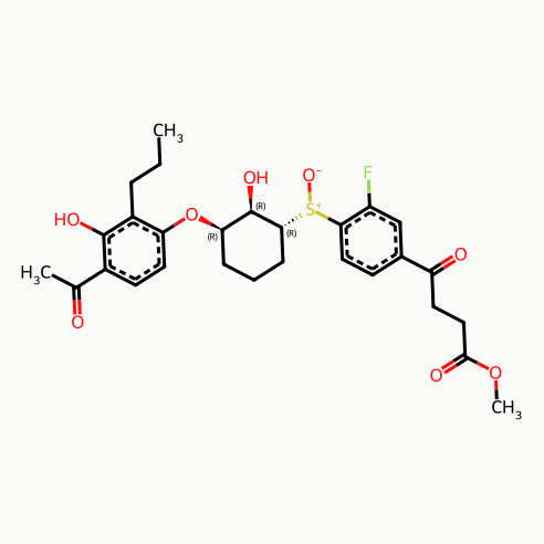 CCCc1c(O[C@@H]2CCC[C@@H]([S+]([O-])c3ccc(C(=O)CCC(=O)OC)cc3F)[C@@H]2O)ccc(C(C)=O)c1O